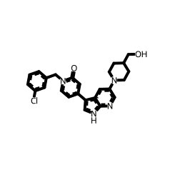 O=c1cc(-c2c[nH]c3ncc(N4CCC(CO)CC4)cc23)ccn1Cc1cccc(Cl)c1